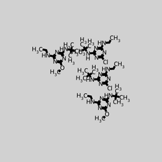 CCNc1nc(Cl)nc(NC(C)(C)C)n1.CCNc1nc(Cl)nc(NC(C)(C)C)n1.CCNc1nc(NC(C)(C)C)nc(OC)n1.CCNc1nc(NC(C)(C)C)nc(OC)n1